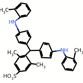 Cc1ccccc1Nc1ccc(C(c2ccc(Nc3ccccc3C)cc2)c2c(C)cc(S(=O)(=O)O)cc2C)cc1